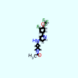 CC(=O)N1CC2(CC(Nc3ccnc(-c4ccc(OC(F)(F)F)c(F)c4)c3)C2)C1